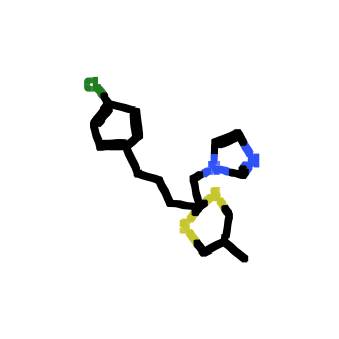 CC1CSC(CCCc2ccc(Cl)cc2)(Cn2ccnc2)SC1